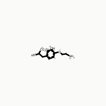 CCCC(Cc1ccc(OCCN)cc1)C(=O)OCC.Cl